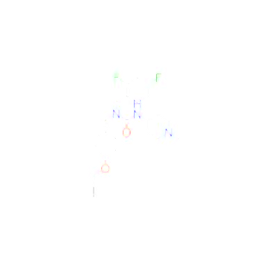 C#CCOc1ccc(CN(Cc2ccc(F)cc2F)C(=O)NC2CCN(C)CC2)cc1